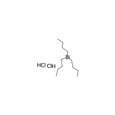 CCC[CH2][Bi]([CH2]CCC)[CH2]CCC.Cl.Cl